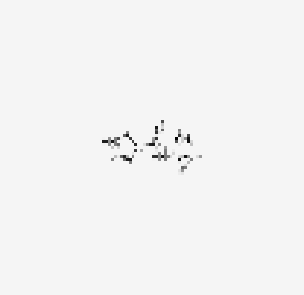 CC1(NC(=O)C2C=CNC2)CC1